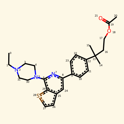 CCN1CCN(c2nc(-c3ccc(C(C)(C)CCOC(C)=O)cc3)cc3ccsc23)CC1